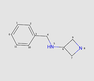 c1ccc(CNC2C[N]C2)cc1